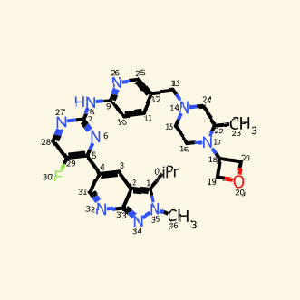 CC(C)c1c2cc(-c3nc(Nc4ccc(CN5CCN(C6COC6)C(C)C5)cn4)ncc3F)cnc2nn1C